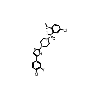 COc1ccc(Cl)cc1S(=O)(=O)N1CCN(c2nc(-c3ccc(Cl)c(F)c3)cs2)CC1